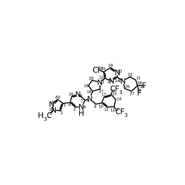 Cn1cc(C2=CNC(N(CC3=CC(C(F)(F)F)CC(C(F)(F)F)=C3)C3CCN(c4nc(N5CCC(F)(F)CC5)ncc4Cl)C3)N=C2)cn1